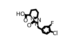 O=C(O)C1CCCc2nn(Cc3ccc(Cl)c(F)c3)c(=O)n21